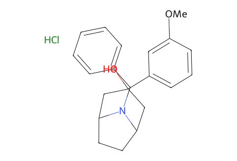 COc1cccc(C2(O)CC3CCC(C2)N3Cc2ccccc2)c1.Cl